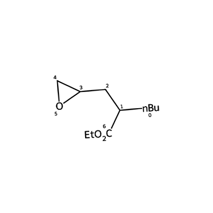 CCCCC(CC1CO1)C(=O)OCC